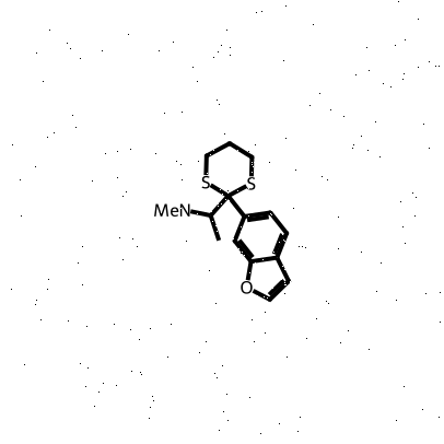 CNC(C)C1(c2ccc3ccoc3c2)SCCCS1